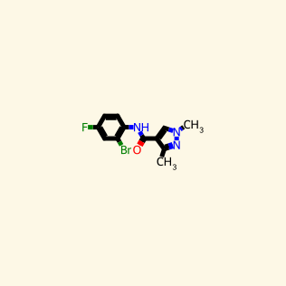 Cc1nn(C)cc1C(=O)Nc1ccc(F)cc1Br